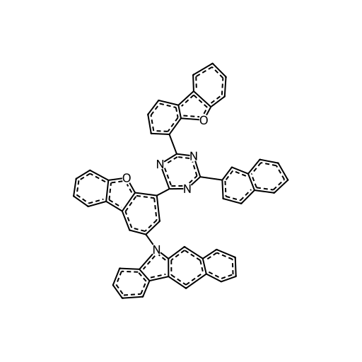 c1ccc2cc(-c3nc(-c4cccc5c4oc4ccccc45)nc(-c4cc(-n5c6ccccc6c6cc7ccccc7cc65)cc5c4oc4ccccc45)n3)ccc2c1